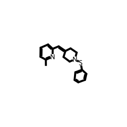 Cc1cccc(C=C2CCN(Sc3ccccc3)CC2)n1